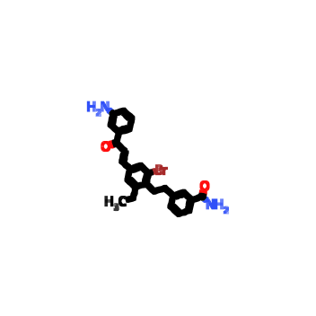 CCc1cc(/C=C/C(=O)c2cccc(N)c2)cc(Br)c1CCc1cccc(C(N)=O)c1